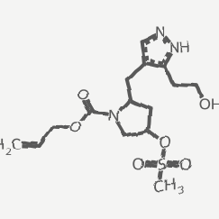 C=CCOC(=O)N1CC(OS(C)(=O)=O)CC1Cc1cn[nH]c1CCO